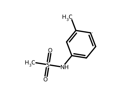 Cc1[c]ccc(NS(C)(=O)=O)c1